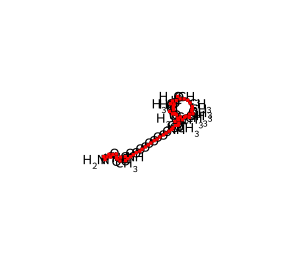 CO[C@H]1C[C@@H]2CC[C@@H](C)[C@@](O)(O2)C(=O)C(=O)N2CCCC[C@H]2C(=O)O[C@H]([C@H](C)C[C@@H]2CC[C@@H](OC(=O)NCCOCCOCCOCCOCCOCCOCCOCCOCCC(=O)NCCS(=O)(=O)c3ccc(C(=O)N4CCOc5ccc(-c6ccc(N)nc6)cc5C4)c(C)c3)[C@H](OC)C2)C[C@H](N=[N+]=[N-])[C@H](C)/C=C(\C)[C@@H](O)[C@@H](OC)C(=O)[C@H](C)C[C@H](C)/C=C/C=C/C=C/1C